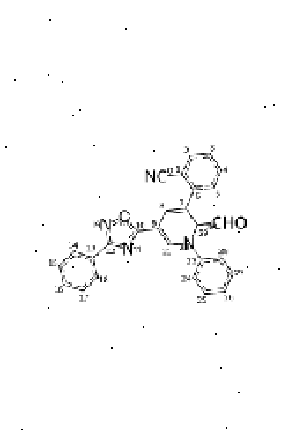 N#Cc1ccccc1C1=CC(c2nc(-c3ccccc3)no2)=CN(c2ccccc2)C1C=O